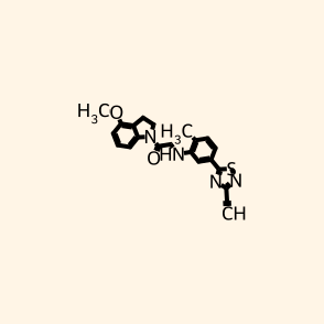 C#Cc1nsc(-c2ccc(C)c(NCC(=O)N3CCc4c(OC)cccc43)c2)n1